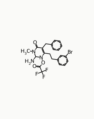 CN1C(=O)C(Cc2ccccc2)=C(CCc2cccc(Br)c2)N(OC(=O)C(F)(F)F)C1N